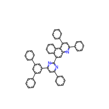 c1ccc(-c2cc(-c3ccccc3)cc(-c3cc(-c4ccccc4)nc(-c4cc5nc(-c6ccccc6)cc(-c6ccccc6)c5c5ccccc45)n3)c2)cc1